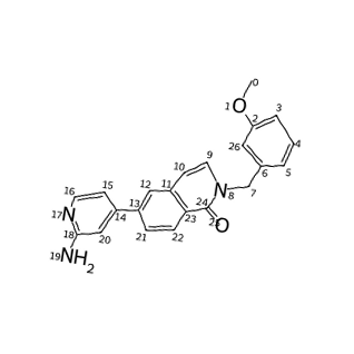 COc1cccc(Cn2ccc3cc(-c4ccnc(N)c4)ccc3c2=O)c1